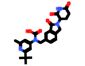 Cc1cc(N(Cc2ccc3c(c2)C(=O)N(C2CCC(=O)NC2=O)C3)C(=O)O)cc(C(C)(C)C)n1